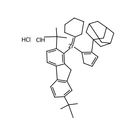 CC(C)(C)c1ccc2c(c1)Cc1c-2ccc(C(C)(C)C)[c]1[Zr]([C]1=C(C23CC4CC(CC(C4)C2)C3)C=CC1)=[C]1CCCCC1.Cl.Cl